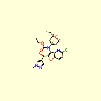 CCOC(=O)N(c1c(C(=O)c2cnn(C)c2)oc2ccc(Cl)nc12)[C@@H]1C[C@H](CC)O[C@H](C)C1